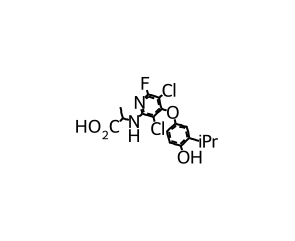 CC(Nc1nc(F)c(Cl)c(Oc2ccc(O)c(C(C)C)c2)c1Cl)C(=O)O